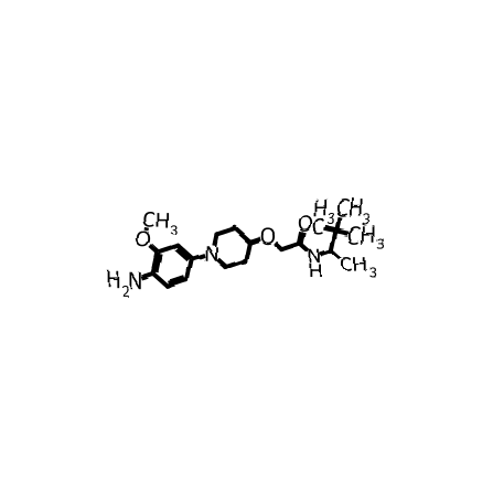 COc1cc(N2CCC(OCC(=O)NC(C)C(C)(C)C)CC2)ccc1N